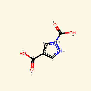 O=C(O)c1cnn(C(=O)O)c1